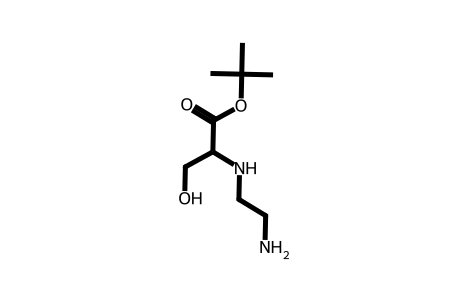 CC(C)(C)OC(=O)C(CO)NCCN